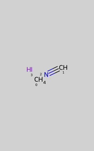 C.C#N.I